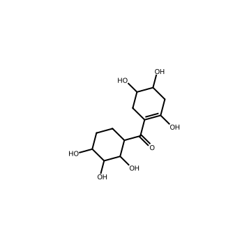 O=C(C1=C(O)CC(O)C(O)C1)C1CCC(O)C(O)C1O